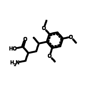 COc1cc(OC)c(C(C)CC(CN)C(=O)O)c(OC)c1